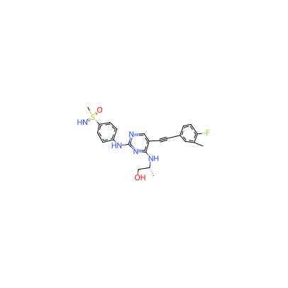 Cc1cc(C#Cc2cnc(Nc3ccc(S(C)(=N)=O)cc3)nc2N[C@H](C)CO)ccc1F